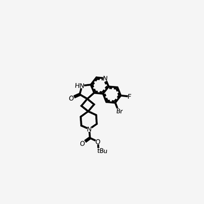 CC(C)(C)OC(=O)N1CCC2(CC1)CC1(C2)C(=O)Nc2cnc3cc(F)c(Br)cc3c21